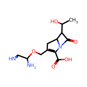 CC(O)C1C(=O)N2C(C(=O)O)=C(COC(N)C=N)CC12